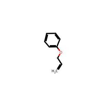 C=C[CH]Oc1ccccc1